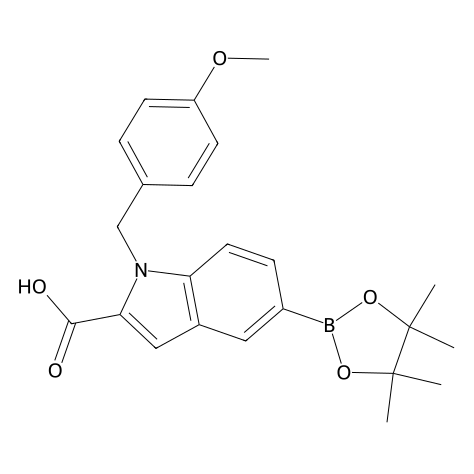 COc1ccc(Cn2c(C(=O)O)cc3cc(B4OC(C)(C)C(C)(C)O4)ccc32)cc1